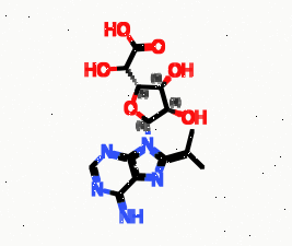 CC(C)=c1nc2c(n1[C@@H]1O[C@H](C(O)C(=O)O)[C@@H](O)[C@H]1O)=NC=NC2=N